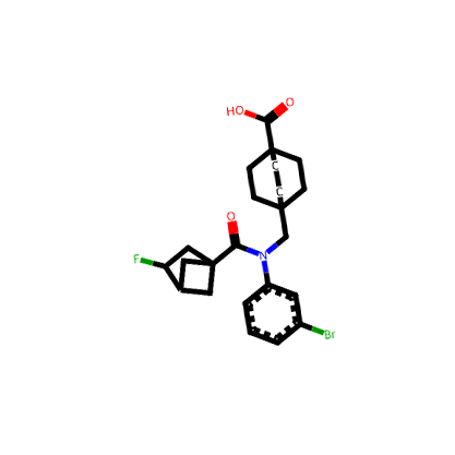 O=C(O)C12CCC(CN(C(=O)C34CC(F)C(C3)C4)c3cccc(Br)c3)(CC1)CC2